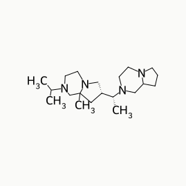 CC(C)N1CCN2C[C@H]([C@@H](C)N3CCN4CCCC4C3)CC2(C)C1